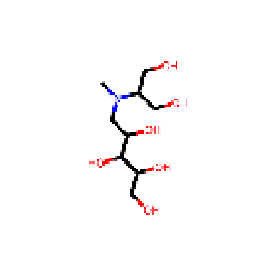 CN(CC(O)C(O)C(O)CO)C(CO)CO